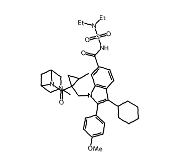 CCN(CC)S(=O)(=O)NC(=O)c1ccc2c(C3CCCCC3)c(-c3ccc(OC)cc3)n(CC3(C(=O)N4C5CC4CN(C)C5)CC3C)c2c1